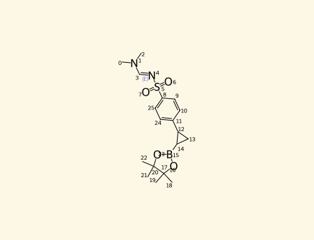 CN(C)/C=N/S(=O)(=O)c1ccc(C2CC2B2OC(C)(C)C(C)(C)O2)cc1